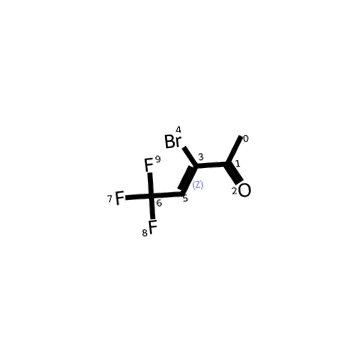 CC(=O)/C(Br)=C/C(F)(F)F